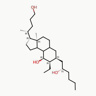 CCCC[C@H](O)C[C@@H]1CC2CC[C@@]3(C)C(CC[C@@H]3[C@H](C)CCCO)C2[C@H](O)[C@@H]1CC